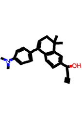 C#CC(O)c1ccc2c(c1)C(C)(C)CC=C2c1ccc(N(C)C)cc1